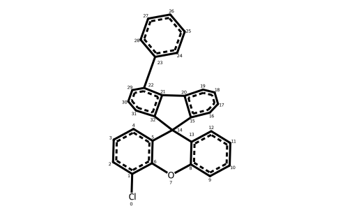 Clc1cccc2c1Oc1ccccc1C21c2ccccc2-c2c(-c3ccccc3)cccc21